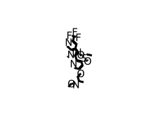 CCS(=O)(=O)c1cc(OC/C(C)=N\OC)cnc1-c1nc2cc(C(F)(F)F)ncc2n1C